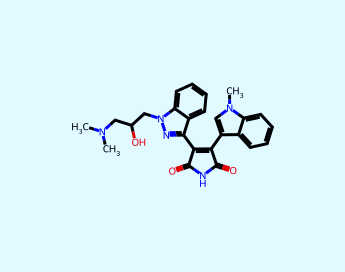 CN(C)CC(O)Cn1nc(C2=C(c3cn(C)c4ccccc34)C(=O)NC2=O)c2ccccc21